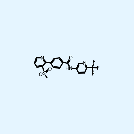 CS(=O)(=O)c1cccnc1-c1ccc(C(=O)Nc2ccc(C(F)(F)F)nc2)cc1